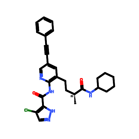 C[C@H](CCc1cc(C#Cc2ccccc2)cnc1NC(=O)c1[nH]ncc1Cl)C(=O)NC1CCCCC1